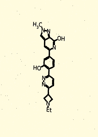 CCN1CC(c2ccc(-c3ccc(-c4cc5cn(C)nc5c(O)n4)cc3O)nn2)C1